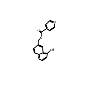 N#Cc1ccnc2ccc(COC(=O)c3ccncc3)cc12